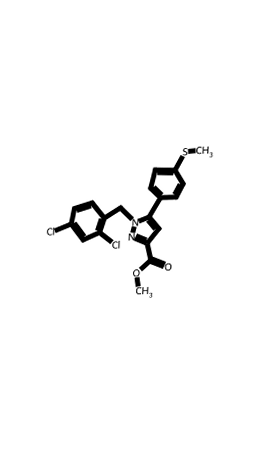 COC(=O)c1cc(-c2ccc(SC)cc2)n(Cc2ccc(Cl)cc2Cl)n1